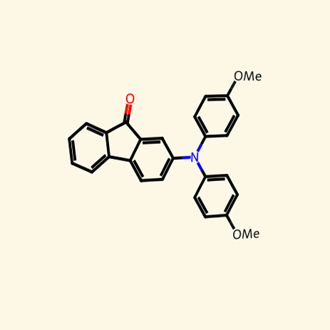 COc1ccc(N(c2ccc(OC)cc2)c2ccc3c(c2)C(=O)c2ccccc2-3)cc1